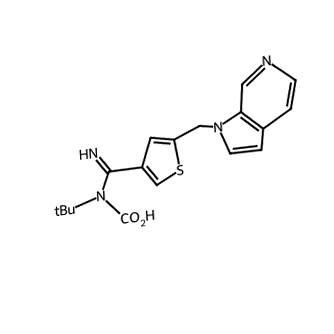 CC(C)(C)N(C(=N)c1csc(Cn2ccc3ccncc32)c1)C(=O)O